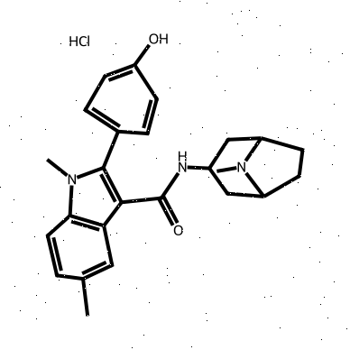 Cc1ccc2c(c1)c(C(=O)NC1CC3CCC(C1)N3C)c(-c1ccc(O)cc1)n2C.Cl